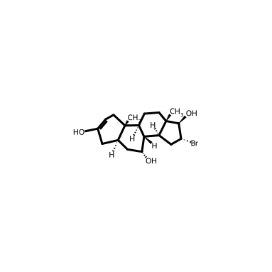 C[C@]12CC=C(O)C[C@@H]1C[C@@H](O)[C@@H]1[C@@H]2CC[C@]2(C)[C@@H](O)[C@H](Br)C[C@@H]12